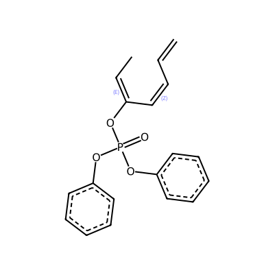 C=C/C=C\C(=C/C)OP(=O)(Oc1ccccc1)Oc1ccccc1